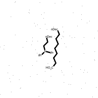 CCCCCCCCCCCCCCCCCC(=O)O.CCCCCCCCCCCCN(C(C)C)C(C)C